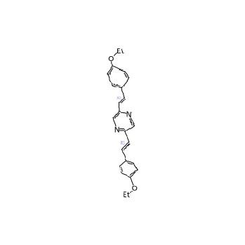 CCOc1ccc(/C=C/c2cnc(/C=C/c3ccc(OCC)cc3)cn2)cc1